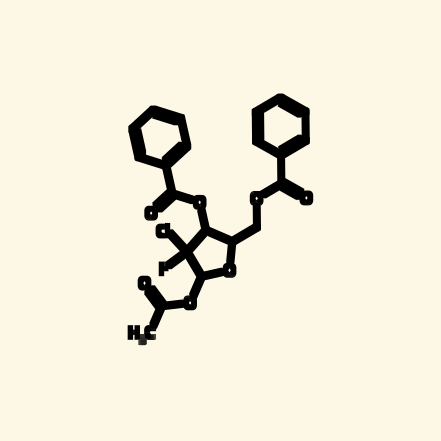 CC(=O)OC1OC(COC(=O)c2ccccc2)C(OC(=O)c2ccccc2)C1(F)Cl